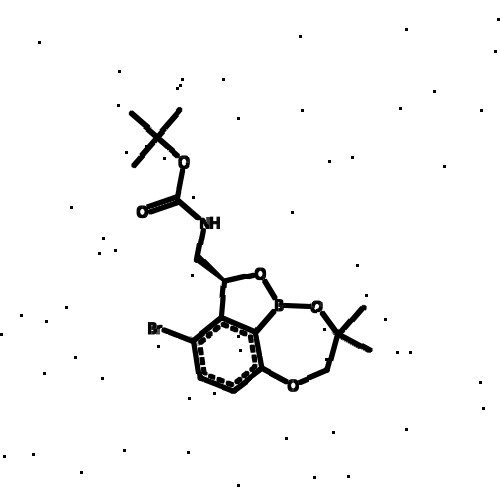 CC(C)(C)OC(=O)NC[C@H]1OB2OC(C)(C)COc3ccc(Br)c1c32